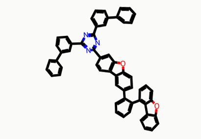 c1ccc(-c2cccc(-c3nc(-c4cccc(-c5ccccc5)c4)nc(-c4ccc5c(c4)oc4ccc(-c6ccccc6-c6cccc7oc8ccccc8c67)cc45)n3)c2)cc1